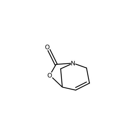 O=C1OC2C=CCN1C2